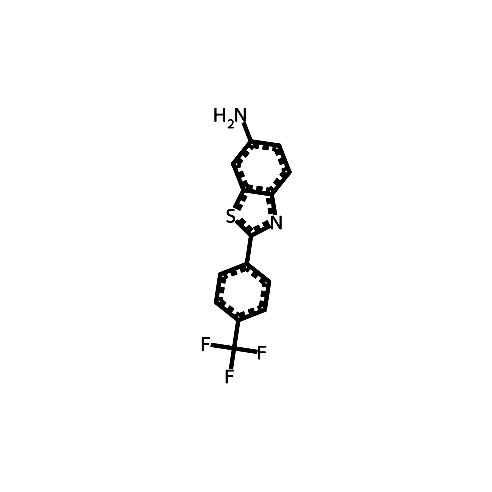 Nc1ccc2nc(-c3ccc(C(F)(F)F)cc3)sc2c1